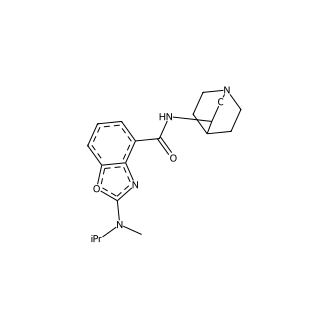 CC(C)N(C)c1nc2c(C(=O)NC3CN4CCC3CC4)cccc2o1